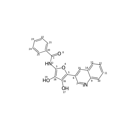 O=C(Nc1oc(-c2cnc3ccccc3c2)c(O)c1O)c1ccccc1